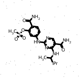 CC(C)C(C)Nc1nc(Nc2ccc(C(N)=O)c(OS(C)(=O)=O)c2)ncc1C(N)=O